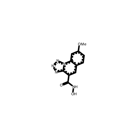 COc1ccc2cc(C(=O)NO)c3nnnn3c2c1